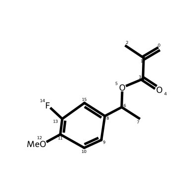 C=C(C)C(=O)OC(C)c1ccc(OC)c(F)c1